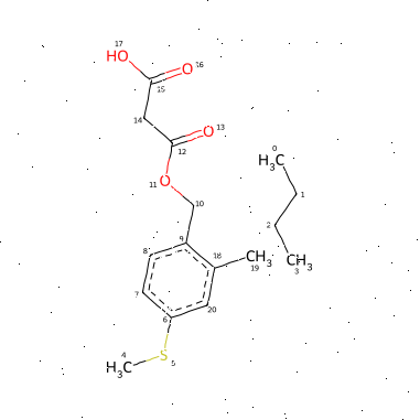 CCCC.CSc1ccc(COC(=O)CC(=O)O)c(C)c1